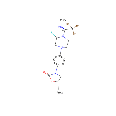 CC(=O)NCC1CN(c2ccc(N3CCN([C@@H](NC=O)C(Br)(Br)Br)C(F)C3)cc2)C(=O)O1